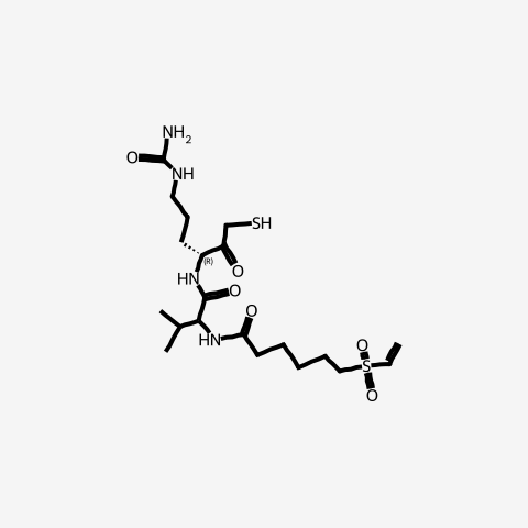 C=CS(=O)(=O)CCCCCC(=O)NC(C(=O)N[C@H](CCCNC(N)=O)C(=O)CS)C(C)C